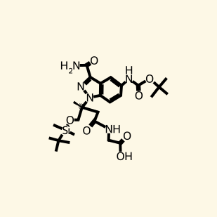 CC(C)(C)OC(=O)Nc1ccc2c(c1)c(C(N)=O)nn2[C@@](C)(CO[Si](C)(C)C(C)(C)C)CC(=O)NCC(=O)O